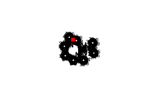 c1ccc2c(c1)c1cccc3c4ccccc4n(c4nc(-n5c6ccccc6c6ccccc65)nc(n4)c4ccccc4n4c5ccccc5c5cccc2c54)c13